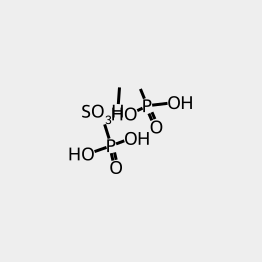 CP(=O)(O)O.CP(=O)(O)O.CS(=O)(=O)O